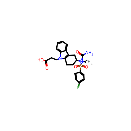 C[N+](C(N)=O)(C1CCc2c(c3ccccc3n2CCC(=O)O)C1)S(=O)(=O)c1ccc(F)cc1